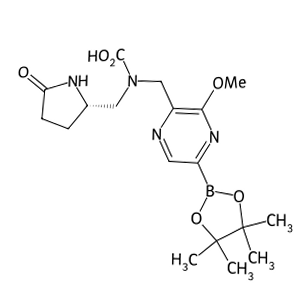 COc1nc(B2OC(C)(C)C(C)(C)O2)cnc1CN(C[C@@H]1CCC(=O)N1)C(=O)O